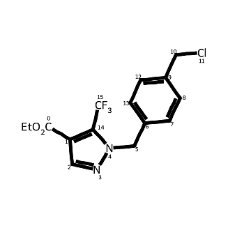 CCOC(=O)c1cnn(Cc2ccc(CCl)cc2)c1C(F)(F)F